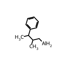 CC([CH2][AlH2])C(C)c1ccccc1